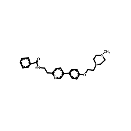 CN1CCN(CCOc2ccc(-c3ccc(CCNC(=O)c4ccccc4)nc3)cc2)CC1